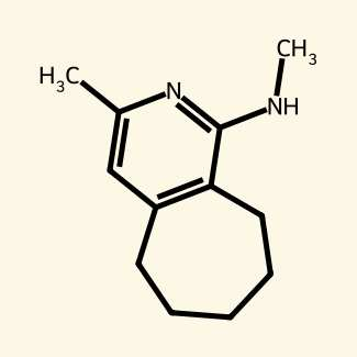 CNc1nc(C)cc2c1CCCCC2